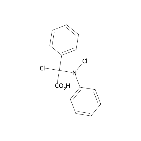 O=C(O)C(Cl)(c1ccccc1)N(Cl)c1ccccc1